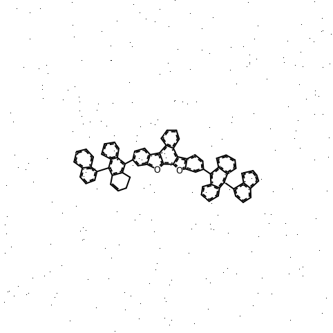 C1=Cc2c(c(-c3ccc4c(c3)oc3c5oc6cc(-c7c8ccccc8c(-c8cccc9ccccc89)c8ccccc78)ccc6c5c5ccccc5c43)c3ccccc3c2-c2cccc3ccccc23)CC1